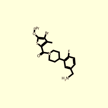 CCCOc1sc(C(=O)N2CCC(c3cc(CN)ccc3F)CC2)c(C)c1Br